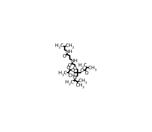 C=C(OCC(COCC(=O)NCCC(=O)NCC(C)C)(COC(=O)C(C)C)COC(=O)C(C)C)C(C)C